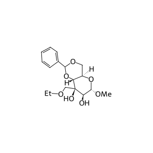 CCOC[C@@]1(O)[C@H](O)[C@@H](OC)O[C@@H]2COC(c3ccccc3)O[C@H]21